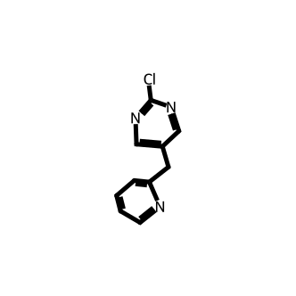 Clc1ncc(Cc2ccccn2)cn1